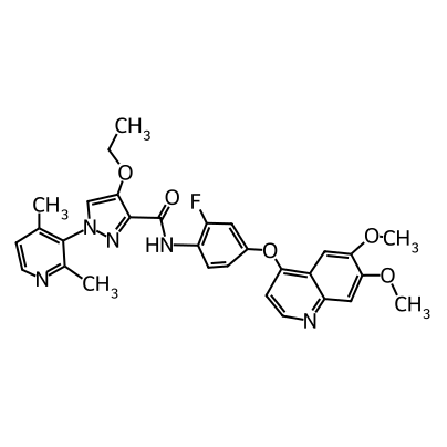 CCOc1cn(-c2c(C)ccnc2C)nc1C(=O)Nc1ccc(Oc2ccnc3cc(OC)c(OC)cc23)cc1F